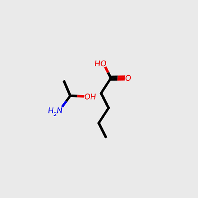 CC(N)O.CCCCC(=O)O